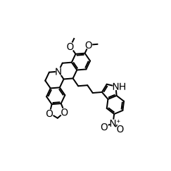 COc1ccc2c(c1OC)CN1CCc3cc4c(cc3C1C2CCCc1c[nH]c2ccc([N+](=O)[O-])cc12)OCO4